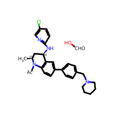 CC(=O)N1c2ccc(-c3ccc(CN4CCCCC4)cc3)cc2[C@H](Nc2ccc(Cl)cn2)C[C@@H]1C.O=CO